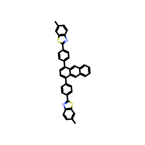 Cc1ccc2nc(-c3ccc(-c4ccc(-c5ccc(-c6nc7ccc(C)cc7s6)cc5)c5cc6ccccc6cc45)cc3)sc2c1